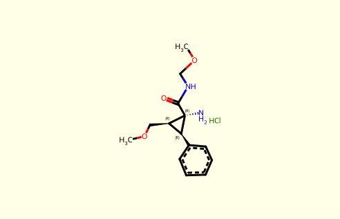 COCNC(=O)[C@]1(N)[C@H](COC)[C@@H]1c1ccccc1.Cl